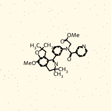 COC(=O)CN(C(=O)c1cccnc1)c1cccc(C2=NC(C)(C)Cc3cc(OC)c4c(c32)CC(C)(C)O4)c1